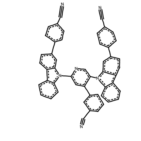 N#Cc1ccc(-c2ccc3c4ccccc4n(-c4cc(-c5cccc(C#N)c5)c(-n5c6ccccc6c6ccc(-c7ccc(C#N)cc7)cc65)cn4)c3c2)cc1